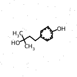 CC(C)(O)CCc1ccc(O)cc1